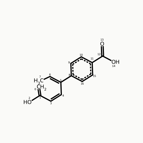 C=C(O)/C=C\C(=C/C)c1ccc(C(=O)O)cc1